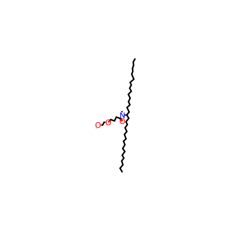 CCCCCCCCCCCCCCCCCC(CCCCCCCCCCCCCCCCC)N(C)C(=O)CCCOCCOC